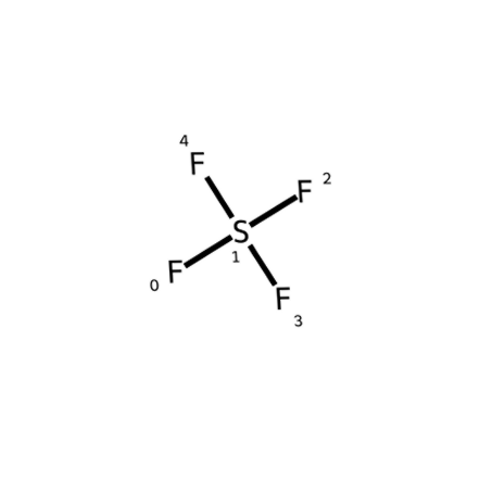 FS(F)(F)F